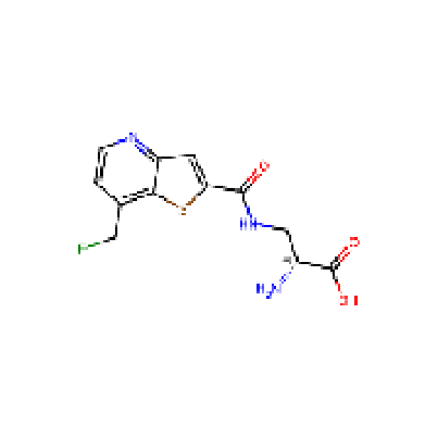 N[C@H](CNC(=O)c1cc2nccc(CF)c2s1)C(=O)O